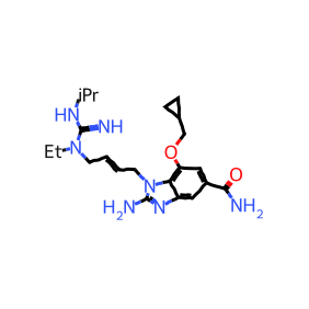 CCN(C/C=C/Cn1c(N)nc2cc(C(N)=O)cc(OCC3CC3)c21)C(=N)NC(C)C